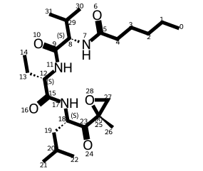 CCCCCC(=O)N[C@H](C(=O)N[C@@H](CC)C(=O)N[C@@H](CC(C)C)C(=O)[C@@]1(C)CO1)C(C)C